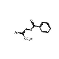 CCOC(=O)/C(=N\OC(=O)c1ccccc1)C(C)=O